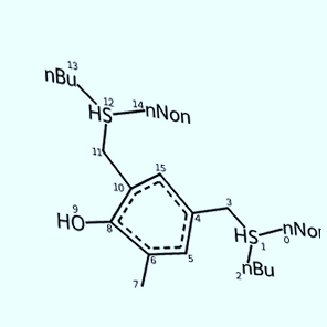 CCCCCCCCC[SH](CCCC)Cc1cc(C)c(O)c(C[SH](CCCC)CCCCCCCCC)c1